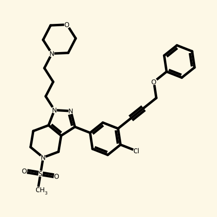 CS(=O)(=O)N1CCc2c(c(-c3ccc(Cl)c(C#CCOc4ccccc4)c3)nn2CCCN2CCOCC2)C1